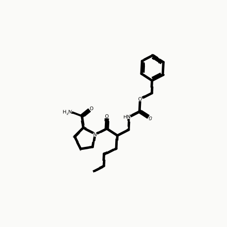 CCCCC(CNC(=O)OCc1ccccc1)C(=O)N1CCCC1C(N)=O